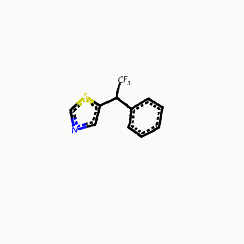 FC(F)(F)[C](c1ccccc1)c1cncs1